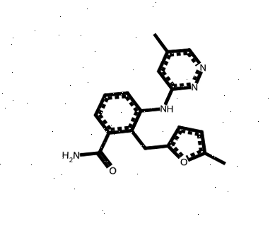 Cc1cnnc(Nc2cccc(C(N)=O)c2Cc2ccc(C)o2)c1